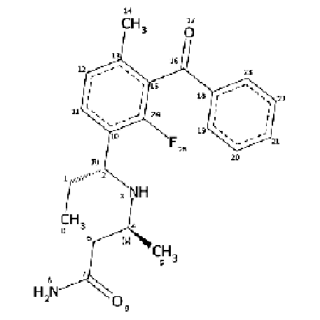 CC[C@@H](N[C@@H](C)CC(N)=O)c1ccc(C)c(C(=O)c2ccccc2)c1F